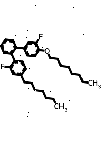 CCCCCCCCOc1ccc(-c2ccccc2-c2ccc(CCCCCCC)cc2F)cc1F